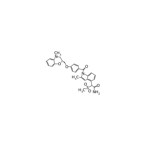 Cc1cc2c(C(C(N)=O)S(C)(=O)=O)cccc2n1C(=O)c1ccc(OC[C@@H]2CN(C)c3ccccc3O2)cc1